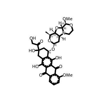 COc1cccc2c1C(=O)c1c(O)c3c(c(O)c1C2=O)CC(O)(C(=O)CO)C[C@@H]3O[C@H]1C[C@H]2[C@H](O[C@@H]3[C@@H](OC)OCCN32)[C@H](C)O1